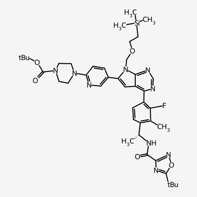 Cc1c([C@@H](C)NC(=O)c2noc(C(C)(C)C)n2)ccc(-c2ncnc3c2cc(-c2ccc(N4CCN(C(=O)OC(C)(C)C)CC4)nc2)n3COCC[Si](C)(C)C)c1F